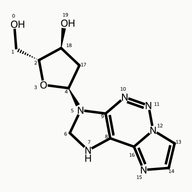 OC[C@H]1O[C@H](N2CNc3c2nnn2ccnc32)C[C@@H]1O